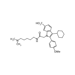 COc1ccc(-c2c(C3CCCCC3)c3ccc(C(=O)O)cc3n2CC(=O)NCCCCCN(C)C)cc1